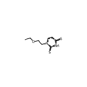 CCOCCn1ccc(=S)[nH]c1=S